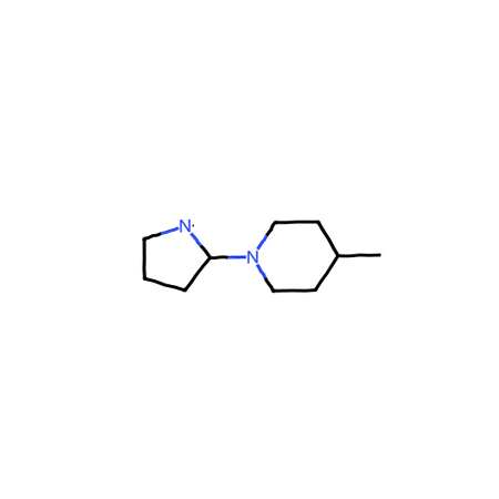 CC1CCN(C2CCC[N]2)CC1